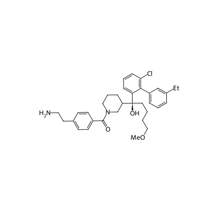 CCc1cccc(-c2c(Cl)cccc2[C@](O)(CCCCOC)C2CCCN(C(=O)c3ccc(CCN)cc3)C2)c1